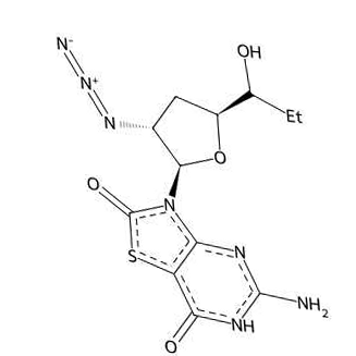 CCC(O)[C@@H]1C[C@@H](N=[N+]=[N-])[C@H](n2c(=O)sc3c(=O)[nH]c(N)nc32)O1